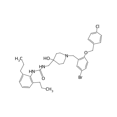 CCCc1cccc(CCC)c1NC(=O)NCC1(O)CCN(Cc2cc(Br)ccc2OCc2ccc(Cl)cc2)CC1